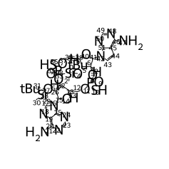 CC(C)(C)[Si](C)(C)OC1[C@H]2OP(=O)(S)OC[C@H]3O[C@@H](n4cnc5c(N)ncnc54)C(O[Si](C)(C)C(C)(C)C)[C@@H]3OP(=O)(S)OC[C@H]1O[C@H]2n1ccc2c(N)ncnc21